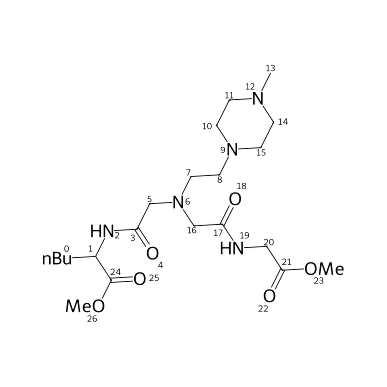 CCCCC(NC(=O)CN(CCN1CCN(C)CC1)CC(=O)NCC(=O)OC)C(=O)OC